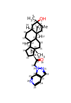 COC[C@]12CC[C@@](C)(O)C[C@@H]1CC[C@H]1[C@@H]3CC[C@H](C(=O)Cn4ncc5ccncc54)[C@@]3(C)CC[C@@H]12